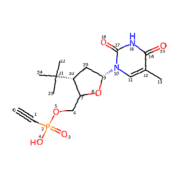 C#CP(=O)(O)OCC1O[C@@H](n2cc(C)c(=O)[nH]c2=O)C[C@H]1C(C)(C)C